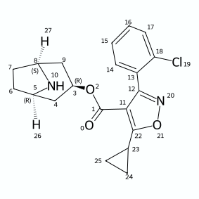 O=C(O[C@H]1C[C@H]2CC[C@@H](C1)N2)c1c(-c2ccccc2Cl)noc1C1CC1